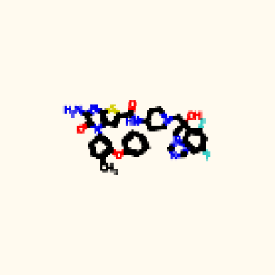 Cc1ccc(-n2c(=O)c(N)nc3sc(C(=O)NC4CCN(C[C@](O)(Cn5cncn5)c5ccc(F)cc5F)CC4)cc32)cc1Oc1ccccc1